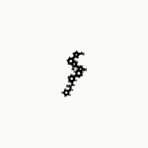 CC(=O)c1ccc(-c2ccnc3[nH]c(-c4n[nH]c5ncc(-c6cncc(CNCC7CCCC7)c6)cc45)cc23)s1